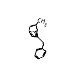 Cc1cc2cc(Cc3ccccc3)c1o2